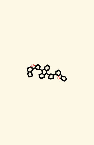 c1cc(-c2c3ccccc3c(-c3ccc4oc5ccc6ccccc6c5c4c3)c3ccccc23)cc(-c2cccc3c2oc2ccccc23)c1